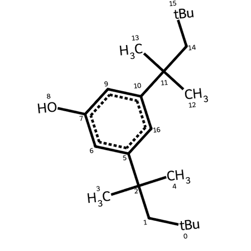 CC(C)(C)CC(C)(C)c1cc(O)cc(C(C)(C)CC(C)(C)C)c1